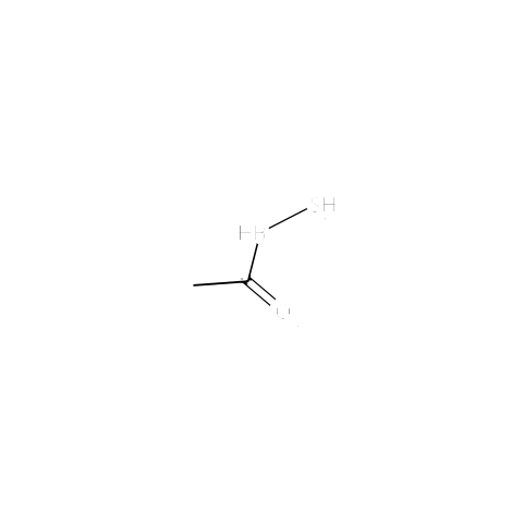 CC(=O)BS